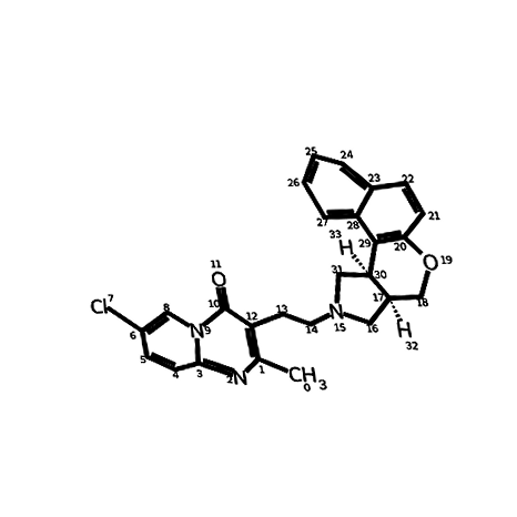 Cc1nc2ccc(Cl)cn2c(=O)c1CCN1C[C@@H]2COc3ccc4ccccc4c3[C@@H]2C1